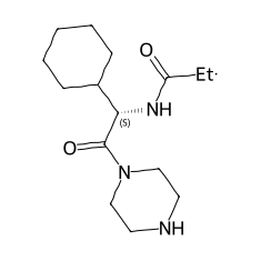 C[CH]C(=O)N[C@H](C(=O)N1CCNCC1)C1CCCCC1